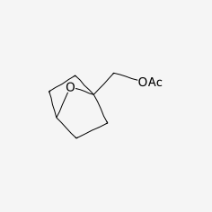 CC(=O)OCC12CCC(CC1)O2